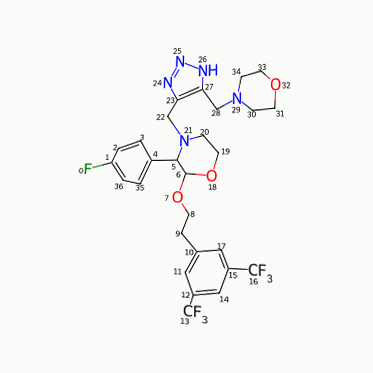 Fc1ccc(C2C(OCCc3cc(C(F)(F)F)cc(C(F)(F)F)c3)OCCN2Cc2nn[nH]c2CN2CCOCC2)cc1